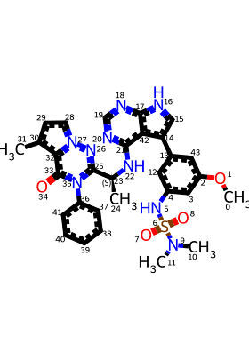 COc1cc(NS(=O)(=O)N(C)C)cc(-c2c[nH]c3ncnc(N[C@@H](C)c4nn5ccc(C)c5c(=O)n4-c4ccccc4)c23)c1